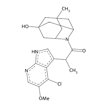 COc1cnc2[nH]cc(C(C)C(=O)N3C4CC5(C)CC3CC(O)(C4)C5)c2c1Cl